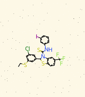 CCSc1cc(Cl)cc(C2Sc3ccc(C(F)(F)F)cc3N2C(=S)Nc2cccc(I)c2)c1